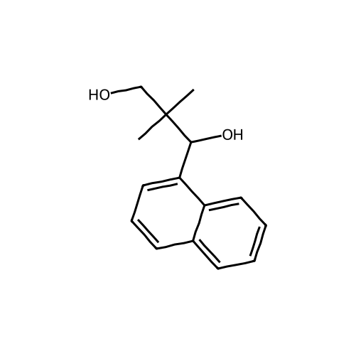 CC(C)(CO)C(O)c1cccc2ccccc12